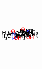 CC[C@H](C)C(=O)N[C@H]1CC=C2C[C@H]3C(=O)C[C@]4(C)[C@@H]([C@H](C)N(C)C)[C@H](O)C[C@@]4(C)[C@@H]3CC[C@H]2[C@]1(C)CO